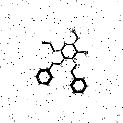 CCS[C@@H]1O[C@H](CO)[C@@H](O)[C@H](OCc2ccccc2)[C@H]1OCc1ccccc1